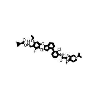 CCOc1cc(OC2CCc3c(-c4cccc(NC(=O)c5nc6c(n5C)CCN(C(C)C)C6)c4Cl)cccc32)c(Cl)c(F)c1CNOC(=O)C1CC1